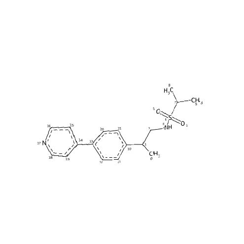 CC(CNS(=O)(=O)C(C)C)c1ccc(-c2ccncc2)cc1